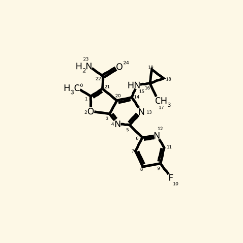 Cc1oc2nc(-c3ccc(F)cn3)nc(NC3(C)CC3)c2c1C(N)=O